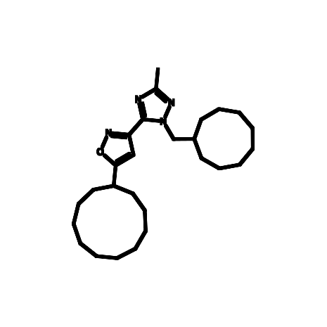 Cc1nc(-c2cc(C3CCCCCCCCCC3)on2)n(CC2CCCCCCCC2)n1